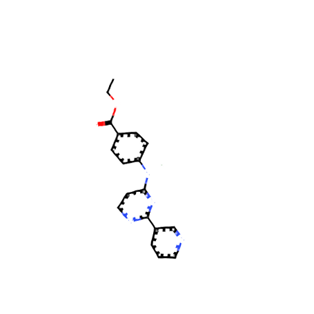 CCOC(=O)c1ccc(Nc2ccnc(-c3cccnc3)n2)cc1.Cl